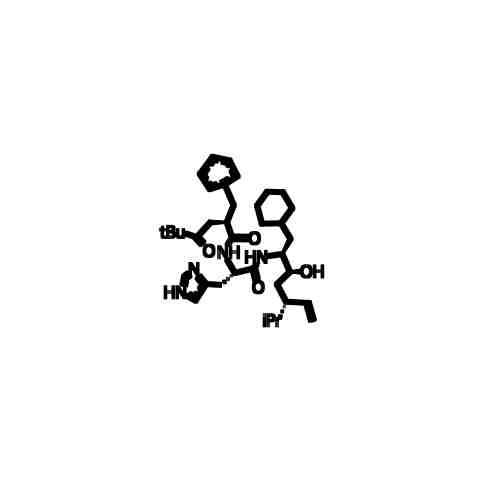 C=C[C@@H](C[C@H](O)[C@H](CC1CCCCC1)NC(=O)[C@H](Cc1c[nH]cn1)NC(=O)[C@@H](CC(=O)C(C)(C)C)Cc1ccccc1)C(C)C